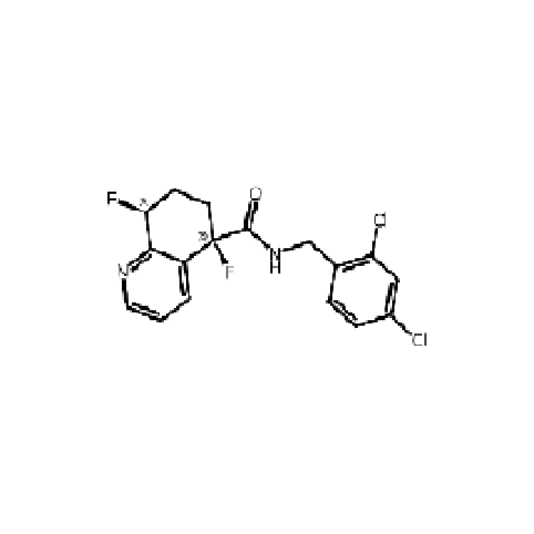 O=C(NCc1ccc(Cl)cc1Cl)[C@@]1(F)CC[C@H](F)c2ncccc21